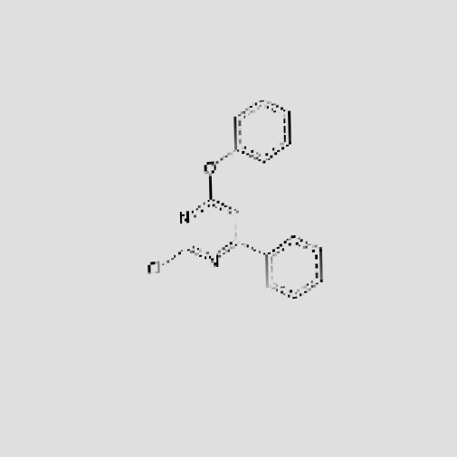 Clc1nc(Oc2ccccc2)cc(-c2ccccc2)n1